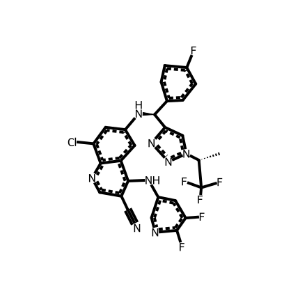 C[C@@H](n1cc([C@@H](Nc2cc(Cl)c3ncc(C#N)c(Nc4cnc(F)c(F)c4)c3c2)c2ccc(F)cc2)nn1)C(F)(F)F